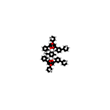 Cc1c(-n2c3ccc(-c4cccnc4)cc3c3cc(-c4cccnc4)ccc32)c(-n2c3ccccc3c3ccccc32)c(C(F)(F)F)c(-n2c3ccccc3c3ccccc32)c1-n1c2ccc(-c3cccnc3)cc2c2cc(-c3cccnc3)ccc21